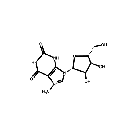 C[n+]1cn([C@@H]2O[C@H](CO)[C@@H](O)[C@H]2O)c2[nH]c(=O)[nH]c(=O)c21